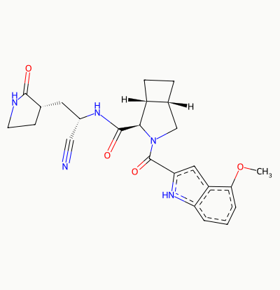 COc1cccc2[nH]c(C(=O)N3C[C@H]4CC[C@H]4[C@@H]3C(=O)N[C@H](C#N)C[C@@H]3CCNC3=O)cc12